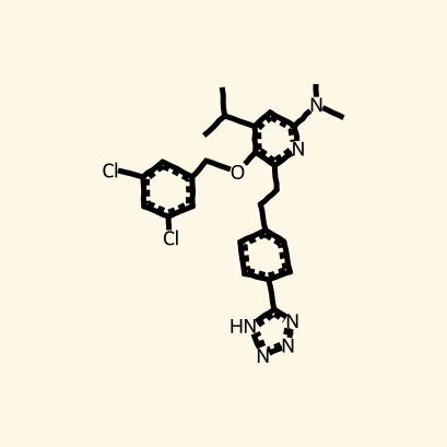 CC(C)c1cc(N(C)C)nc(CCc2ccc(-c3nnn[nH]3)cc2)c1OCc1cc(Cl)cc(Cl)c1